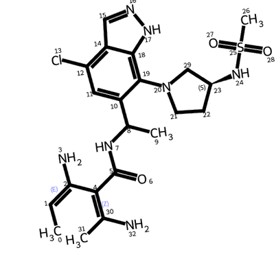 C/C=C(N)\C(C(=O)NC(C)c1cc(Cl)c2cn[nH]c2c1N1CC[C@H](NS(C)(=O)=O)C1)=C(/C)N